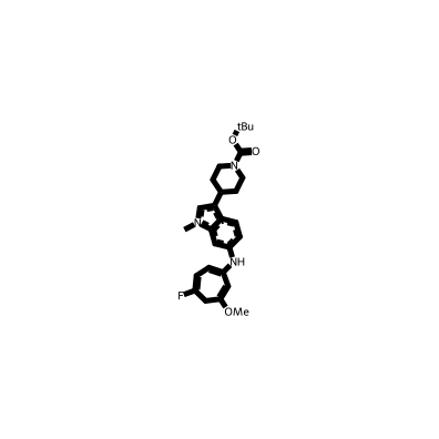 COC1=CC(Nc2ccc3c(C4CCN(C(=O)OC(C)(C)C)CC4)cn(C)c3c2)=CC=C(F)C1